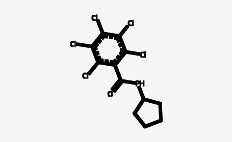 O=C(PC1CCCC1)c1c(Cl)c(Cl)c(Cl)c(Cl)c1Cl